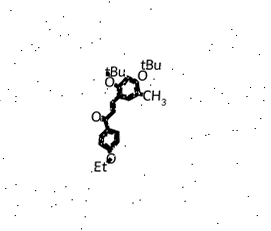 CCOc1ccc(C(=O)C=Cc2cc(C)c(OC(C)(C)C)cc2OC(C)(C)C)cc1